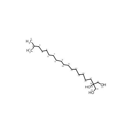 CC(C)CCCCCCCCCCCCCCCC(O)(CO)CO